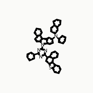 c1ccc(-c2nc(-c3cc4sc5ccccc5c4c4ccccc34)nc(-n3c4ccc(N(c5ccccc5)c5ccc6ccccc6c5)cc4c4c5ccccc5ccc43)n2)cc1